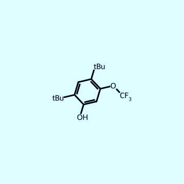 CC(C)(C)c1cc(C(C)(C)C)c(OC(F)(F)F)cc1O